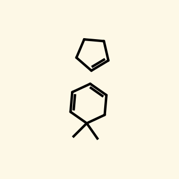 C1=CCCC1.CC1(C)C=CC=CC1